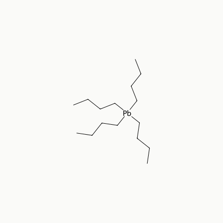 CCC[CH2][Pb]([CH2]CCC)([CH2]CCC)[CH2]CCC